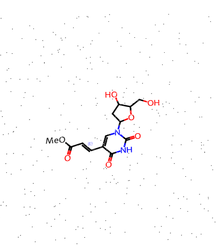 COC(=O)/C=C/c1cn(C2CC(O)C(CO)O2)c(=O)[nH]c1=O